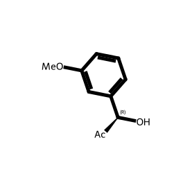 COc1cccc([C@@H](O)C(C)=O)c1